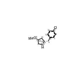 CO[C@@H]1CN[C@@H](Cc2ccc(Cl)cc2)C1